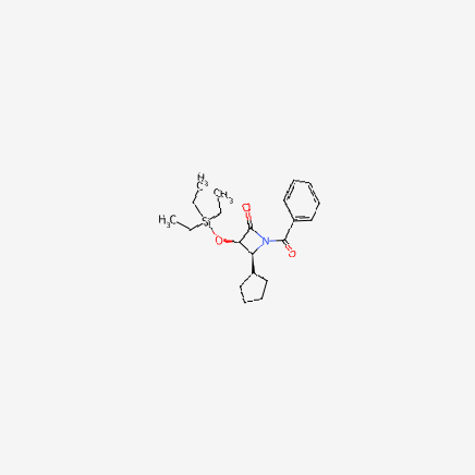 CC[Si](CC)(CC)O[C@H]1C(=O)N(C(=O)c2ccccc2)[C@H]1C1CCCC1